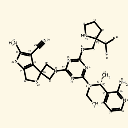 CCN(c1nc(OC[C@]2(C(F)F)CCCN2)nc(N2CC3(C2)SCc2sc(N)c(C#N)c23)n1)[C@H](C)c1cccnc1N